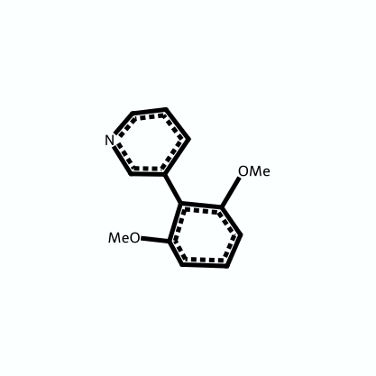 COc1cccc(OC)c1-c1cccnc1